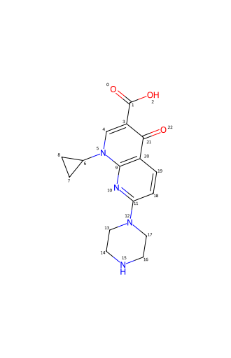 O=C(O)c1cn(C2CC2)c2nc(N3CCNCC3)ccc2c1=O